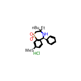 CCCC[C@]1(CC)CS(=O)(=O)c2cc(SC)ccc2[C@H](c2ccccc2)N1.Cl